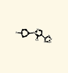 Fc1ccc(-n2ncc(-c3nn[nH]n3)c2Cl)cc1